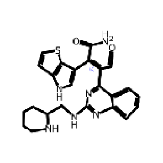 NC(=O)/C(=C(\C=O)c1nc(NCC2CCCCN2)nc2ccccc12)c1c[nH]c2ccsc12